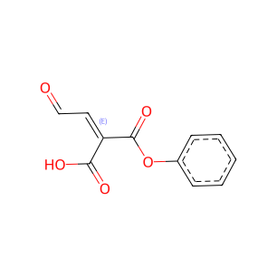 O=C/C=C(\C(=O)O)C(=O)Oc1ccccc1